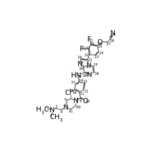 CN(C)CCN1CCN(C(=O)c2ccc(Nc3nccn4c(-c5ccc(OCC#N)c(F)c5F)cnc34)cc2Cl)CC1